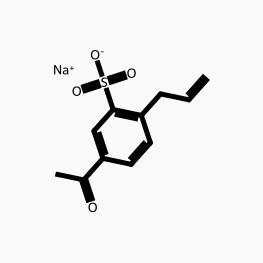 C=CCc1ccc(C(C)=O)cc1S(=O)(=O)[O-].[Na+]